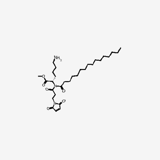 CCCCCCCCCCCCCCCC(=O)N(C(=O)CCN1C(=O)C=CC1=O)[C@@H](CCCCN)C(=O)OC